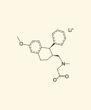 COc1ccc2c(c1)CC[C@H](CN(C)CC(=O)[O-])[C@@H]2c1ccccc1.[Li+]